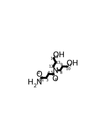 NC(=O)CCC(=O)N(CCCO)CCCO